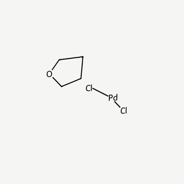 C1CCOC1.[Cl][Pd][Cl]